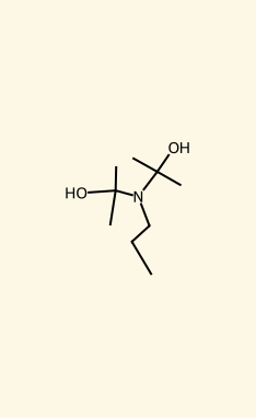 CCCN(C(C)(C)O)C(C)(C)O